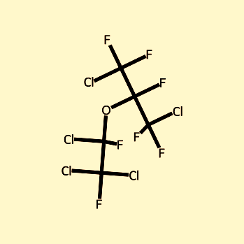 FC(F)(Cl)C(F)(OC(F)(Cl)C(F)(Cl)Cl)C(F)(F)Cl